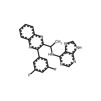 CC(Nc1ncnc2[nH]cnc12)c1nc2ccccc2nc1-c1cc(F)cc(F)c1